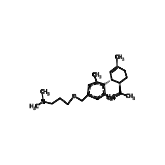 C=C(C)[C@@H]1CCC(C)=C[C@H]1c1c(C)cc(COCCCN(C)C)cc1O